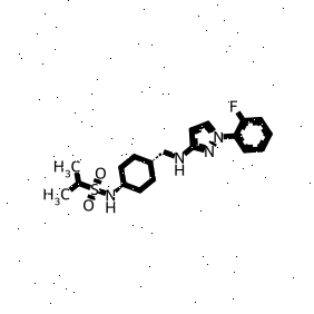 CC(C)S(=O)(=O)N[C@H]1CC[C@H](CNc2ccn(-c3ccccc3F)n2)CC1